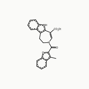 CCOC(=O)C1=CN(C(=O)c2oc3ccccc3c2C)CCc2c1[nH]c1ccccc21